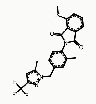 CSc1cccc2c1C(=O)N(c1ccc(Cn3nc(C(F)(F)F)cc3C)cc1C)C2=O